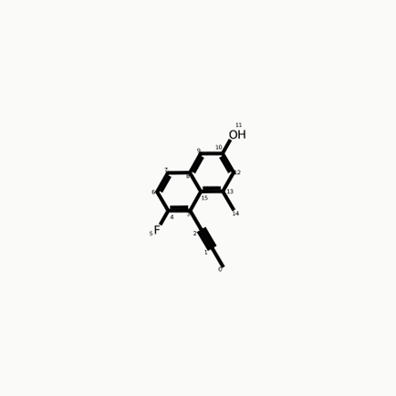 CC#Cc1c(F)ccc2cc(O)cc(C)c12